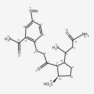 COc1ccc(OCC(=O)N2C(C(N)CC(N)=O)CC[C@H]2C(=O)O)c(C(N)=O)c1